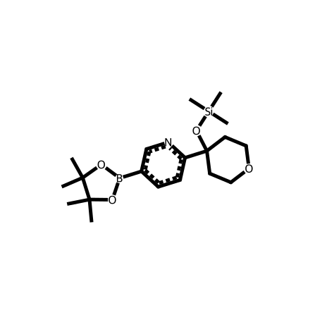 CC1(C)OB(c2ccc(C3(O[Si](C)(C)C)CCOCC3)nc2)OC1(C)C